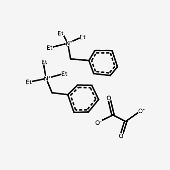 CC[N+](CC)(CC)Cc1ccccc1.CC[N+](CC)(CC)Cc1ccccc1.O=C([O-])C(=O)[O-]